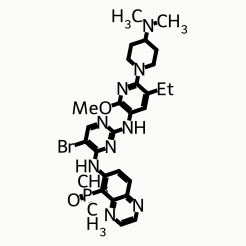 CCc1cc(Nc2ncc(Br)c(Nc3ccc4nccnc4c3P(C)(C)=O)n2)c(OC)nc1N1CCC(N(C)C)CC1